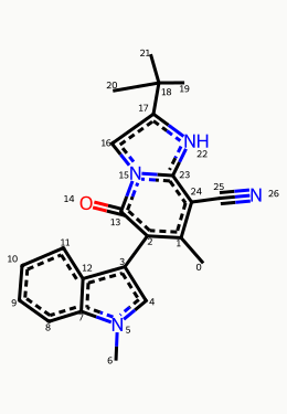 Cc1c(-c2cn(C)c3ccccc23)c(=O)n2cc(C(C)(C)C)[nH]c2c1C#N